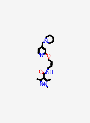 Cc1nn(C)c(C)c1C(=O)NC/C=C\COc1cc(CN2CCCCC2)ccn1